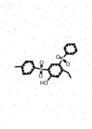 CCc1cc(O)c(S(=O)(=O)c2ccc(C)cc2)cc1S(=O)(=O)c1ccccc1